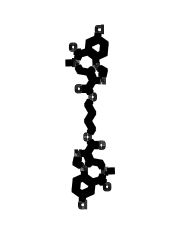 CN1Cc2c(C(=O)OCCCCOC(=O)c3ncn4c3CN(C)C(=O)c3cc(Cl)ccc3-4)ncn2-c2ccc(Cl)cc2C1=O